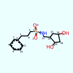 O=S(=O)(CCCc1ccccc1)NCC1[CH]C(O)CC1O